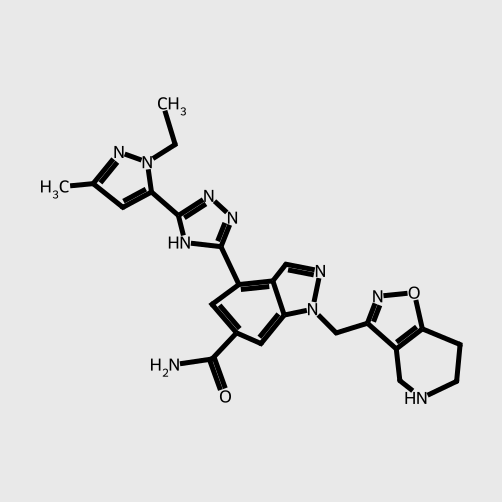 CCn1nc(C)cc1-c1nnc(-c2cc(C(N)=O)cc3c2cnn3Cc2noc3c2CNCC3)[nH]1